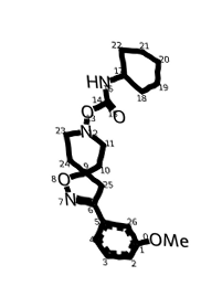 COc1cccc(C2=NOC3(CCN(OC(=O)NC4CCCCC4)CC3)C2)c1